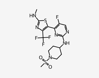 CNc1nc(C(F)(F)F)c(-c2nc(NC3CCN(S(C)(=O)=O)CC3)ncc2F)s1